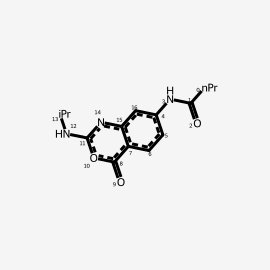 CCCC(=O)Nc1ccc2c(=O)oc(NC(C)C)nc2c1